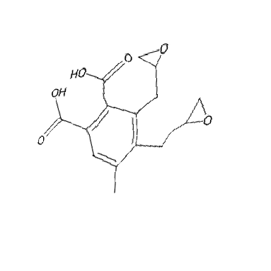 Cc1cc(C(=O)O)c(C(=O)O)c(CC2CO2)c1CC1CO1